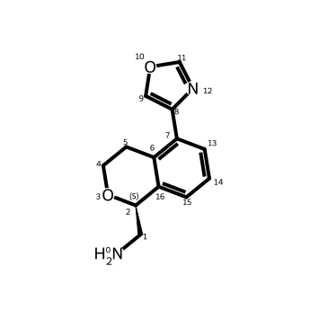 NC[C@H]1OCCc2c(-c3cocn3)cccc21